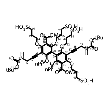 CCCOc1c(C#CCNC(=O)OC(C)(C)C)c(OCCCS(=O)(=O)O)c(C(=O)OC)c(OCCCS(=O)(=O)O)c1-c1c(OCCCS(=O)(=O)O)c(C#CCNC(=O)OC(C)(C)C)c(OCCCS(=O)(=O)O)c(C(=O)OC)c1OCCC